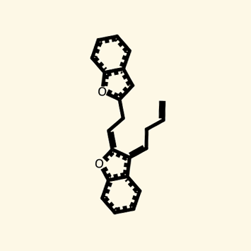 C=CC/C=c1\c(=C/Cc2cc3ccccc3o2)oc2ccccc12